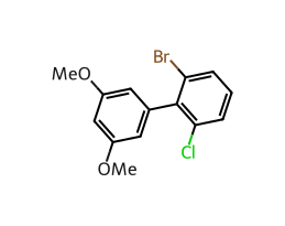 COc1cc(OC)cc(-c2c(Cl)cccc2Br)c1